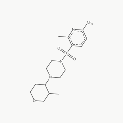 Cc1nc(C(F)(F)F)ccc1S(=O)(=O)N1CCN(C2CCOCC2C)CC1